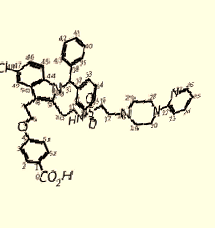 O=C(O)c1ccc(OCCc2c(CCNS(=O)(=O)CCN3CCN(c4ccccn4)CC3)n(C(c3ccccc3)c3ccccc3)c3ccc(Cl)cc23)cc1